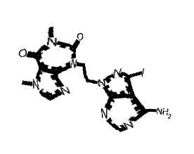 Cn1c(=O)c2c(ncn2C)n(CCn2nc(I)c3c(N)ncnc32)c1=O